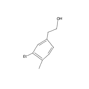 CCc1cc(CCO)ccc1C